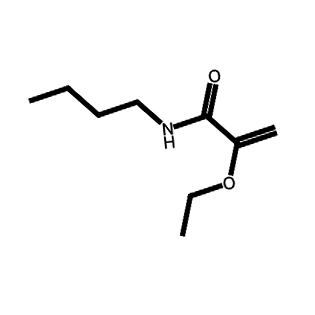 C=C(OCC)C(=O)NCCCC